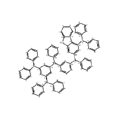 c1ccc(N(c2ccccc2)c2cc(N(c3ccccc3)c3ccccc3)cc(N(c3ccccc3)c3cccc(N(c4ccccc4)c4cc(N(c5ccccc5)c5ccccc5)c5c(c4)oc4ccccc45)c3)c2)cc1